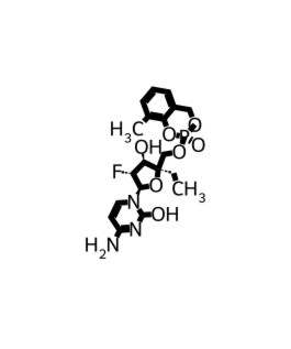 CC[C@]1(COP2(=O)OCc3cccc(C)c3O2)O[C@@H](N2C=CC(N)=NC2O)[C@H](F)[C@@H]1O